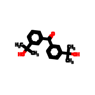 CC(C)(O)c1cccc(C(=O)c2cccc(C(C)(C)O)c2)c1